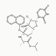 CC(C)OC(=O)[C@H](C)N[P@](=O)(OC[C@H]1O[C@@H](n2ccc(=O)[nH]c2=O)[C@@H](Cl)[C@@H]1O)Oc1cccc2ccccc12